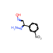 NN=C(C=NO)c1cccc([N+](=O)[O-])c1